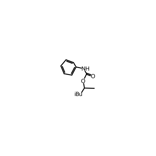 CCC(C)C(C)OC(=O)Nc1ccccc1